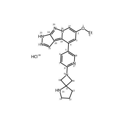 CCOc1cc(-c2ccc(N3CC4(CCCN4)C3)nc2)c2c3cn[nH]c3nn2c1.Cl